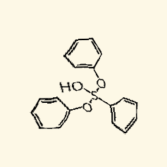 OS(Oc1ccccc1)(Oc1ccccc1)c1ccccc1